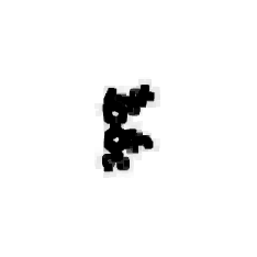 CCn1cc2c(N3CCC(CC)(NC(=O)OC(C)(C)C)CC3)ccc(C(=O)OC)c2n1